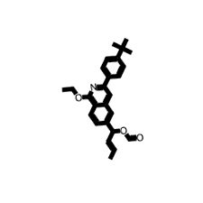 CC=CC(OC=O)c1ccc2c(OCC)nc(-c3ccc(C(C)(C)C)cc3)cc2c1